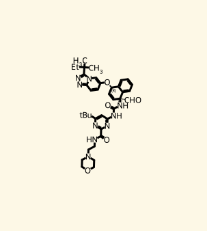 CCC(C)(C)c1nnc2ccc(O[C@@H]3C=C[C@](C=O)(NC(=O)Nc4cc(C(C)(C)C)nc(C(=O)NCCN5CCOCC5)n4)c4ccccc43)cn12